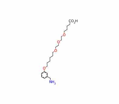 NCc1cccc(OCCCCCCOCCOCCOCCCCC(=O)O)c1